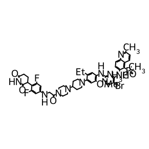 CCc1cc(Nc2ncc(Br)c(Nc3ccc4nc(C)ccc4c3P(C)(C)=O)n2)c(OC)cc1N1CCC(N2CCN(C(=O)CNc3cc(F)c(C4CCC(=O)NC4=O)c(F)c3)CC2)CC1